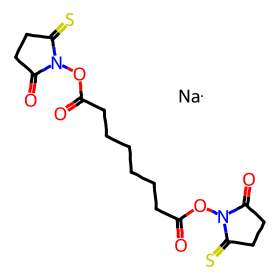 O=C(CCCCCCC(=O)ON1C(=O)CCC1=S)ON1C(=O)CCC1=S.[Na]